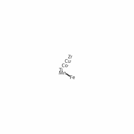 [Co].[Cu].[Mn][Fe].[Ti].[Zr]